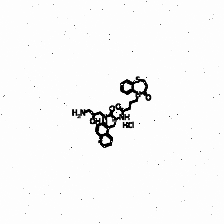 Cl.NCC(O)CNC(=O)[C@@H](Cc1cccc2ccccc12)NC(=O)CCCN1C(=O)CCSc2ccccc21